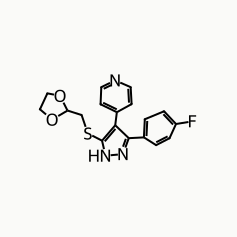 Fc1ccc(-c2n[nH]c(SCC3OCCO3)c2-c2ccncc2)cc1